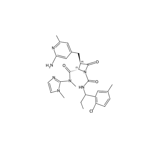 CCC(NC(=O)N1C(=O)[C@H](Cc2cc(C)nc(N)c2)[C@H]1C(=O)N(C)c1nccn1C)c1cc(C)ccc1Cl